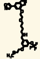 COCCOc1cc(CNCCCCOCCOc2cc(-c3cnoc3)cc3[nH]ncc23)cc(OC(F)(F)F)c1